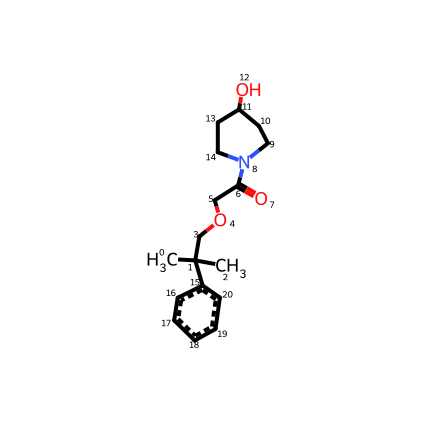 CC(C)(COCC(=O)N1CCC(O)CC1)c1ccccc1